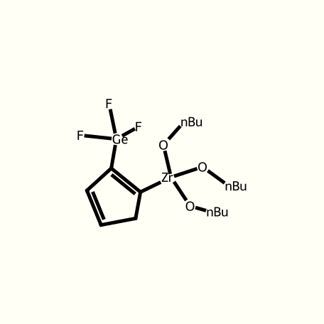 CCCC[O][Zr]([O]CCCC)([O]CCCC)[C]1=[C]([Ge]([F])([F])[F])C=CC1